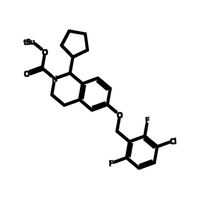 CC(C)(C)OC(=O)N1CCc2cc(OCc3c(F)ccc(Cl)c3F)ccc2C1C1CCCC1